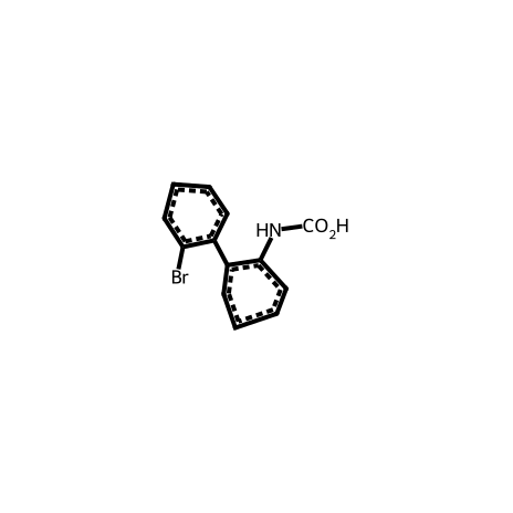 O=C(O)Nc1ccccc1-c1ccccc1Br